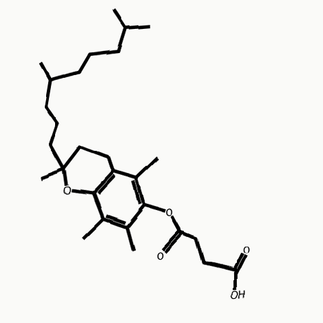 Cc1c(C)c2c(c(C)c1OC(=O)CCC(=O)O)CCC(C)(CCCC(C)CCCC(C)C)O2